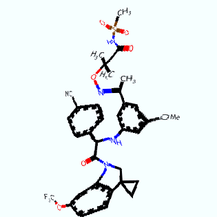 COc1cc(NC(C(=O)N2CC3(CC3)c3ccc(OC(F)(F)F)cc32)c2ccc(C#N)cc2)cc(C(C)=NOC(C)(C)C(=O)NS(C)(=O)=O)c1